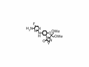 COCC1(COC)Oc2ccc(Nc3ncc(F)c(N)n3)cc2-n2c1nn(C)c2=O